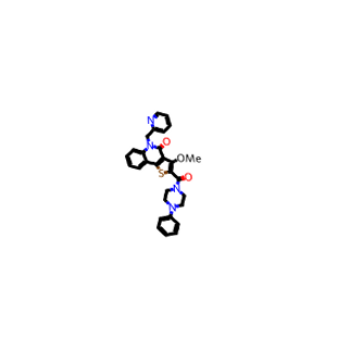 COc1c(C(=O)N2CCN(c3ccccc3)CC2)sc2c1c(=O)n(Cc1ccccn1)c1ccccc21